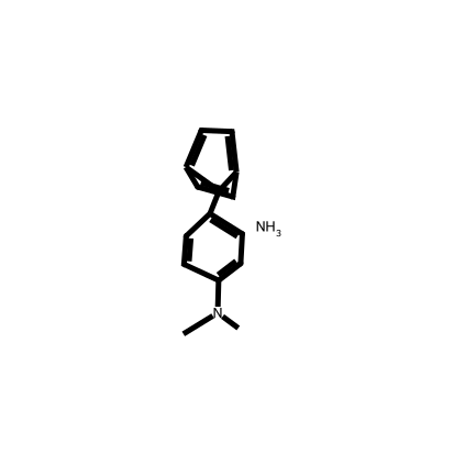 CN(C)c1ccc(C2C3=CC=C2C=C3)cc1.N